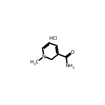 CN1C=CC=C(C(N)=O)C1.Cl